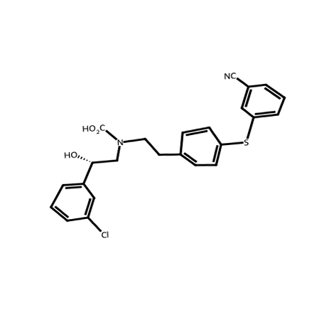 N#Cc1cccc(Sc2ccc(CCN(C[C@@H](O)c3cccc(Cl)c3)C(=O)O)cc2)c1